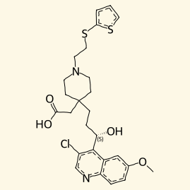 COc1ccc2ncc(Cl)c([C@@H](O)CCC3(CC(=O)O)CCN(CCSc4cccs4)CC3)c2c1